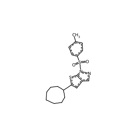 Cc1ccc(S(=O)(=O)n2ncc3cc(C4CCCCCCC4)sc32)cc1